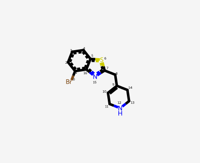 Brc1cccc2sc(CC3=CCNCC3)nc12